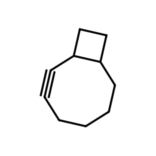 C1#CC2CCC2CCCC1